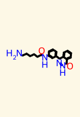 NCCCCCC(=O)Nc1cccc(-c2n[nH]c(=O)c3ccccc23)c1